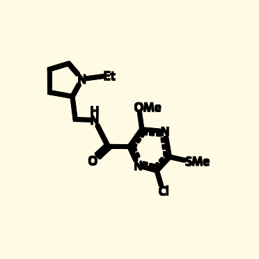 CCN1CCCC1CNC(=O)c1nc(Cl)c(SC)nc1OC